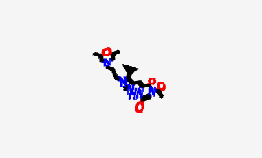 CC(=O)N1CC(=O)N/C(=C\c2ncn(CCCN3CC(C)OC(C)C3)c2C2CC2)C1=O